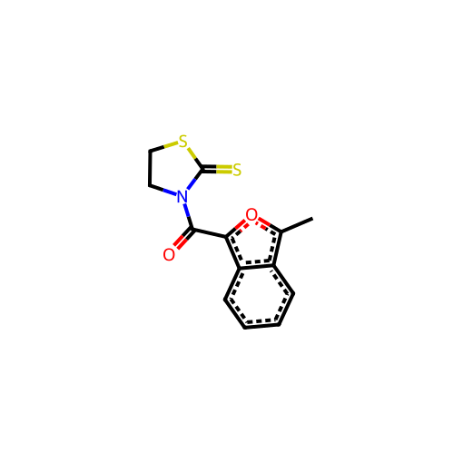 Cc1oc(C(=O)N2CCSC2=S)c2ccccc12